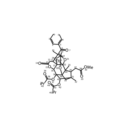 C/C=C\C(=C/C)C(=O)C(C)(C)C1CC(=O)OC2C13OC1(C)OC3(CC)C3(C)C(CC(=O)OC)C4(C)CC3(O1)C2(OC(=O)C(C)C)C4OC(=O)C(C)C